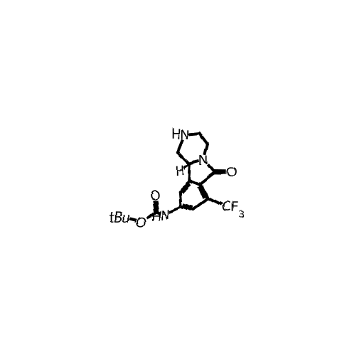 CC(C)(C)OC(=O)Nc1cc2c(c(C(F)(F)F)c1)C(=O)N1CCNC[C@@H]21